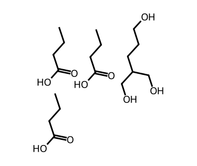 CCCC(=O)O.CCCC(=O)O.CCCC(=O)O.OCCCC(CO)CO